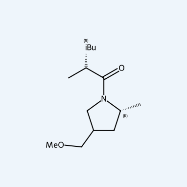 CC[C@@H](C)C(C)C(=O)N1CC(COC)C[C@H]1C